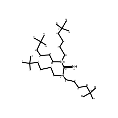 CC(C)(C)CCCCN(CCCCC(C)(C)C)C(=N)N(CCCCC(C)(C)C)CCCCC(C)(C)C